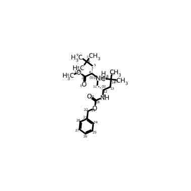 COC(=O)[C@H](CC(C)(C)C)NC[C@H](CC(C)(C)C)NC(=O)OCc1ccccc1